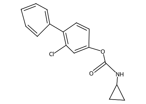 O=C(NC1CC1)Oc1ccc(-c2ccccc2)c(Cl)c1